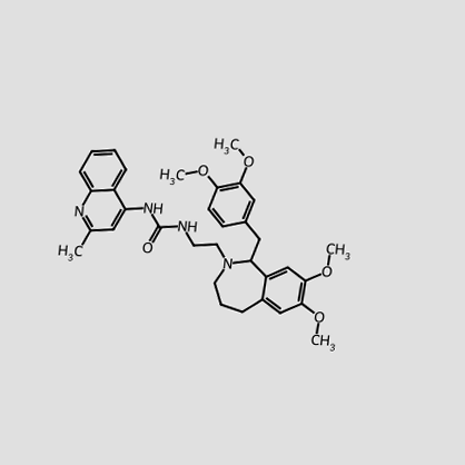 COc1ccc(CC2c3cc(OC)c(OC)cc3CCCN2CCNC(=O)Nc2cc(C)nc3ccccc23)cc1OC